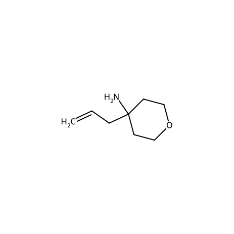 C=CCC1(N)CCOCC1